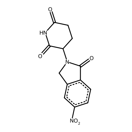 O=C1CCC(N2Cc3cc([N+](=O)[O-])ccc3C2=O)C(=O)N1